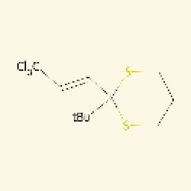 CC(C)(C)C1(/C=C/C(Cl)(Cl)Cl)SCCCS1